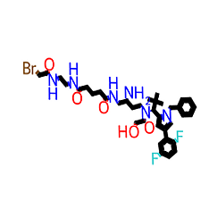 CC(C)(C)[C@H](c1cc(-c2cc(F)ccc2F)cn1Cc1ccccc1)N(CC[C@H](N)CNC(=O)CCCC(=O)NCCNC(=O)CBr)C(=O)CO